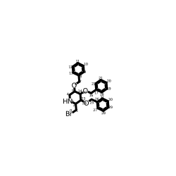 BrCC1NCC(OCc2ccccc2)C(OCc2ccccc2)C1OCc1ccccc1